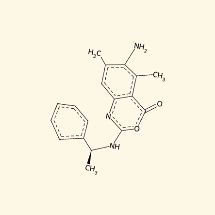 Cc1cc2nc(N[C@@H](C)c3ccccc3)oc(=O)c2c(C)c1N